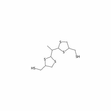 CC(C1SCC(CS)S1)C1SCC(CS)S1